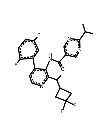 CC(C)c1ncc(C(=O)Nc2c(-c3cc(F)ccc3F)ccnc2C(C)C2CC(F)(F)C2)cn1